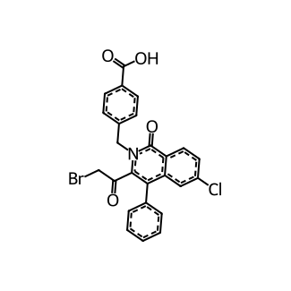 O=C(O)c1ccc(Cn2c(C(=O)CBr)c(-c3ccccc3)c3cc(Cl)ccc3c2=O)cc1